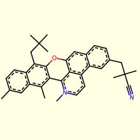 Cc1ccc2c(CC(C)(C)C)c3c(c(C)c2c1)-c1c2c(cc4ccc(CC(C)(C)C#N)cc4c2cc[n+]1C)O3